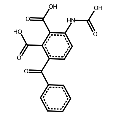 O=C(O)Nc1ccc(C(=O)c2ccccc2)c(C(=O)O)c1C(=O)O